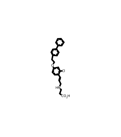 O=C(O)CCNC/C=C/c1ccc(OCCc2ccc(-c3ccccc3)cc2)cc1Cl